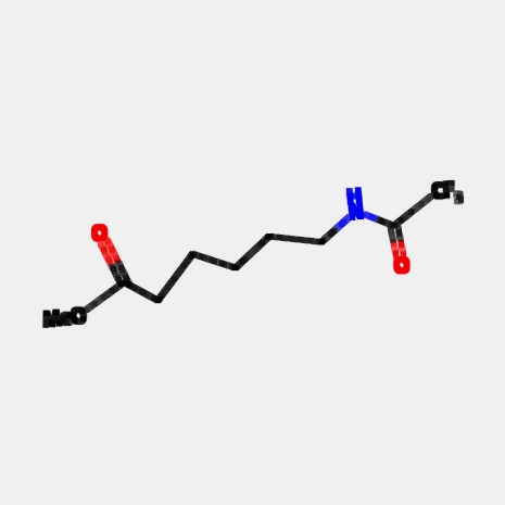 COC(=O)CCCCCNC(=O)C(F)(F)F